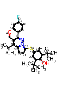 CC(C)c1c(C=O)c(-c2ccc(F)cc2)nn2c(Sc3cc(C(C)(C)C)c(O)c(C(C)(C)C)c3)ccc12